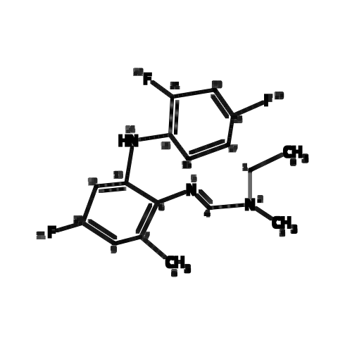 CCN(C)C=Nc1c(C)cc(F)cc1Nc1ccc(F)cc1F